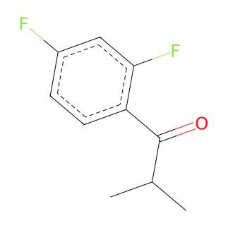 CC(C)C(=O)c1ccc(F)cc1F